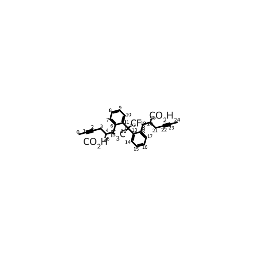 CC#CCC(Cc1ccccc1C(c1ccccc1CC(CC#CC)C(=O)O)(C(F)(F)F)C(F)(F)F)C(=O)O